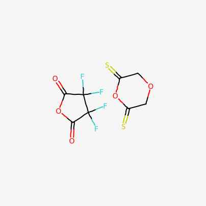 O=C1OC(=O)C(F)(F)C1(F)F.S=C1COCC(=S)O1